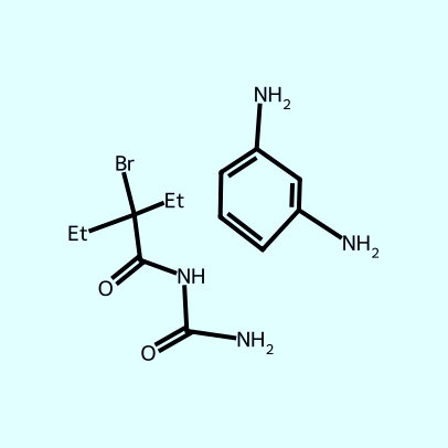 CCC(Br)(CC)C(=O)NC(N)=O.Nc1cccc(N)c1